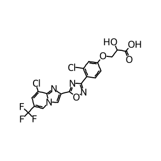 O=C(O)C(O)COc1ccc(-c2noc(-c3cn4cc(C(F)(F)F)cc(Cl)c4n3)n2)c(Cl)c1